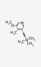 COc1cncc(C#C[Si](C)(C)C)c1C